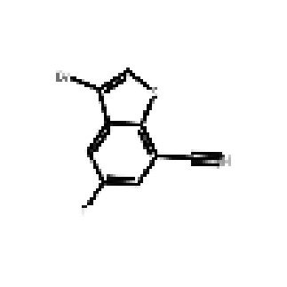 N#Cc1cc(F)cc2c(Br)csc12